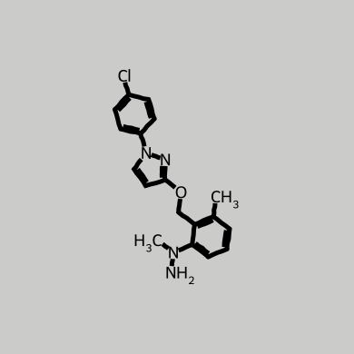 Cc1cccc(N(C)N)c1COc1ccn(-c2ccc(Cl)cc2)n1